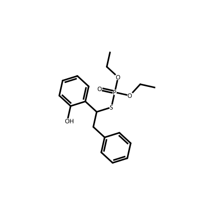 CCOP(=O)(OCC)SC(Cc1ccccc1)c1ccccc1O